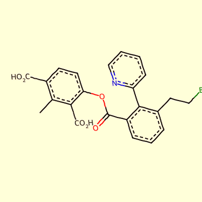 Cc1c(C(=O)O)ccc(OC(=O)c2cccc(CCBr)c2-c2ccccn2)c1C(=O)O